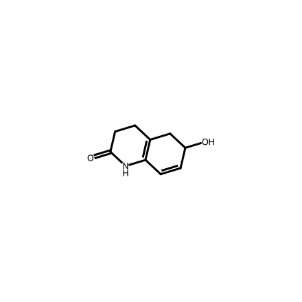 O=C1CCC2=C(C=CC(O)C2)N1